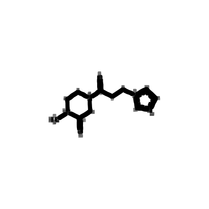 CN1CCN(C(=O)CCn2ccnc2)CC1=O